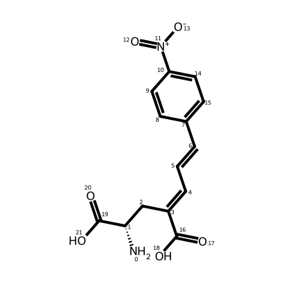 N[C@@H](C/C(=C\C=C\c1ccc([N+](=O)[O-])cc1)C(=O)O)C(=O)O